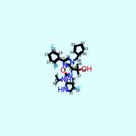 [CH2][C@@H](C)NC(=O)N(C[C@@H]1CNC[C@@H]1F)[C@@H](c1nc(-c2cc(F)ccc2F)cn1Cc1ccccc1)C(C)(C)O